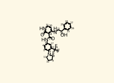 O=C(Nc1ccc(N2CCCC2)c(C(F)(F)F)c1)c1c(NC[C@@H](O)c2ccccc2)cc[nH]c1=O